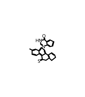 Cc1ccc2c3c(ccc2c1)C1=C(CCC=C1)CC3=S.O=c1[nH]cnc2ccccc12